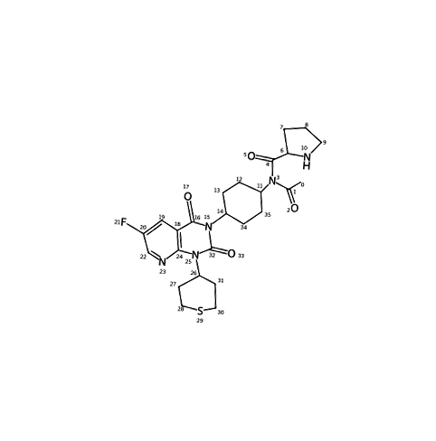 CC(=O)N(C(=O)C1CCCN1)C1CCC(n2c(=O)c3cc(F)cnc3n(C3CCSCC3)c2=O)CC1